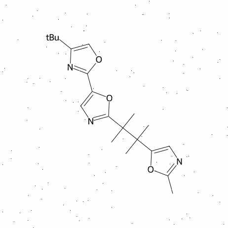 Cc1ncc(C(C)(C)C(C)(C)c2ncc(-c3nc(C(C)(C)C)co3)o2)o1